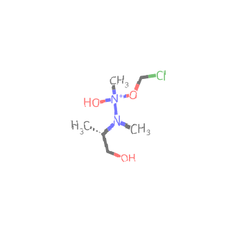 C[C@@H](CO)N(C)[N+](C)(O)OCCl